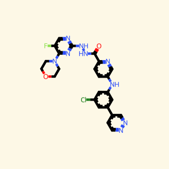 O=C(NNc1ncc(F)c(N2CCOCC2)n1)c1ccc(Nc2cc(Cl)cc(-c3ccnnc3)c2)cn1